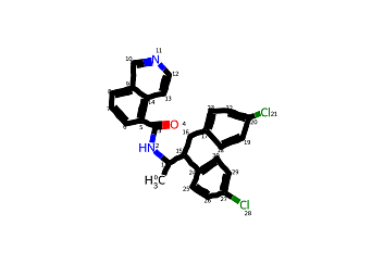 CC(NC(=O)c1cccc2cnccc12)C(Cc1ccc(Cl)cc1)c1ccc(Cl)cc1